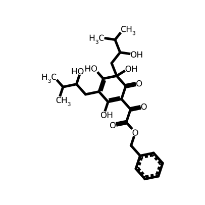 CC(C)C(O)CC1=C(O)C(O)(CC(O)C(C)C)C(=O)C(C(=O)C(=O)OCc2ccccc2)=C1O